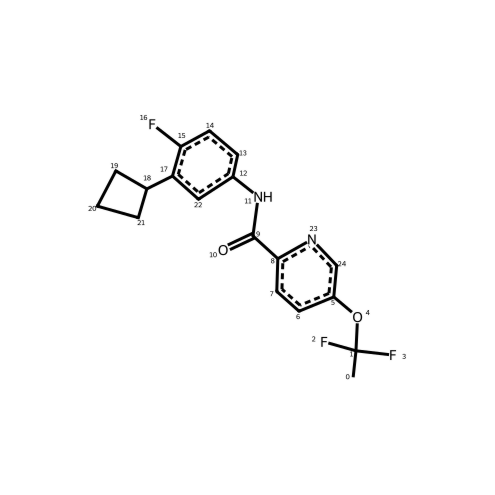 CC(F)(F)Oc1ccc(C(=O)Nc2ccc(F)c(C3CCC3)c2)nc1